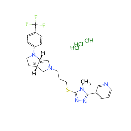 Cl.Cl.Cl.Cn1c(SCCCN2C[C@@H]3CCN(c4ccc(C(F)(F)F)cc4)[C@@H]3C2)nnc1-c1cccnc1